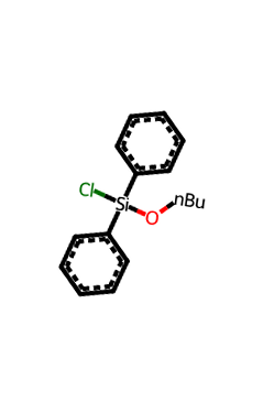 CCCCO[Si](Cl)(c1ccccc1)c1ccccc1